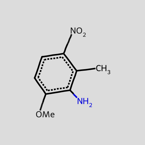 COc1ccc([N+](=O)[O-])c(C)c1N